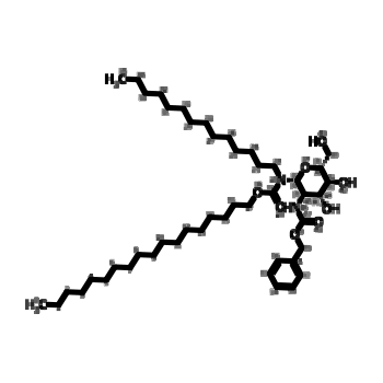 CCCCCCCCCCCCCCCCCCOC(=O)N(CCCCCCCCCCCCCC)[C@@H]1O[C@H](CO)[C@@H](O)[C@H](O)[C@H]1NC(=O)OCc1ccccc1